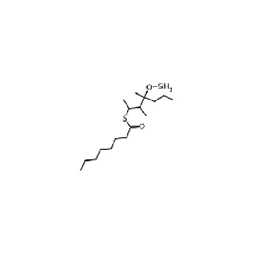 CCCCCCCC(=O)SC(C)C(C)C(C)(CCC)O[SiH3]